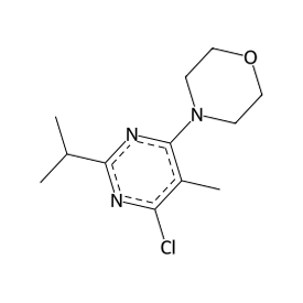 Cc1c(Cl)nc(C(C)C)nc1N1CCOCC1